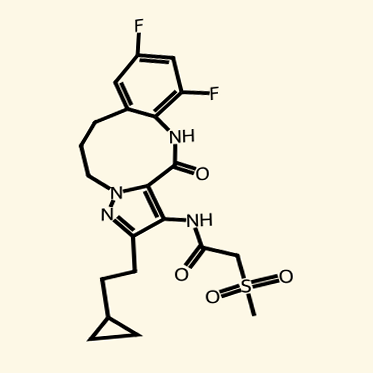 CS(=O)(=O)CC(=O)Nc1c(CCC2CC2)nn2c1C(=O)Nc1c(F)cc(F)cc1CCC2